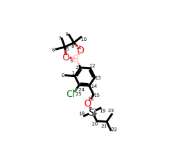 Cc1c(B2OC(C)(C)C(C)(C)O2)ccc(CO[Si](C)(C)CC(C)C)c1Cl